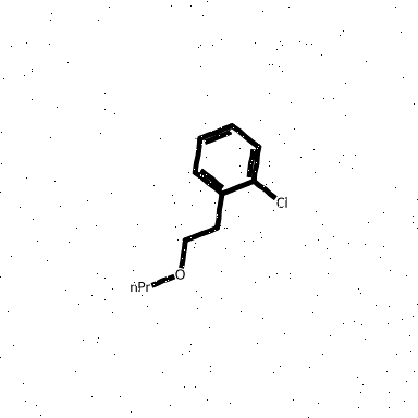 CCCOCCc1c[c]ccc1Cl